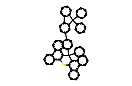 c1ccc(C2(c3ccccc3)c3ccccc3-c3ccc(-c4ccc(C5(c6ccccc6)c6c(c7ccccc7c7ccccc67)Sc6c5c5ccccc5c5ccccc65)cc4)cc32)cc1